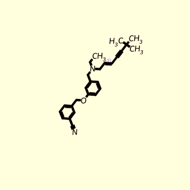 CCN(C/C=C/C#CC(C)(C)C)Cc1cccc(OCc2cccc(C#N)c2)c1